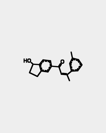 CC(=CC(=O)c1ccc2c(c1)CCC2O)c1cccc(C)c1